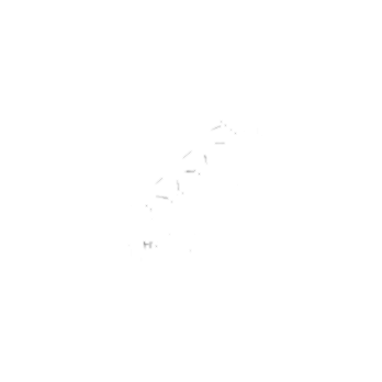 COc1nc(-c2ccc(N(C)C3CC(C)(C)NC(C)(C)C3)nn2)ccc1-c1cnn(C)c1